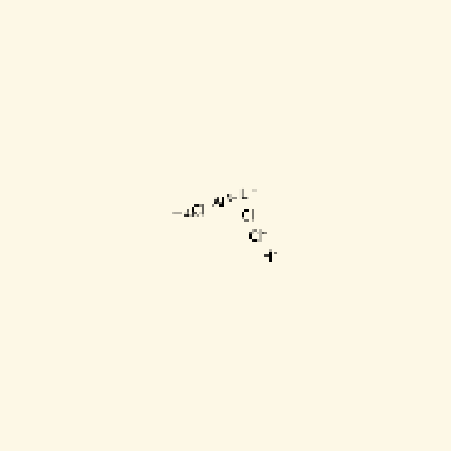 [Al+3].[Cl-].[Cl-].[Cl-].[H-].[Li+].[Ti+4]